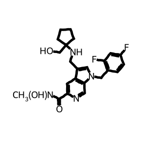 CN(O)C(=O)c1cc2c(CNC3(CO)CCCC3)cn(Cc3ccc(F)cc3F)c2cn1